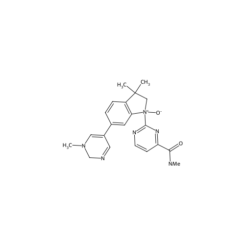 CNC(=O)c1ccnc([N+]2([O-])CC(C)(C)c3ccc(C4=CN(C)CN=C4)cc32)n1